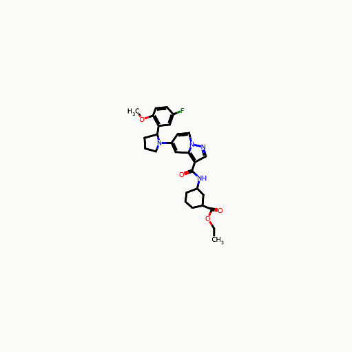 CCOC(=O)C1CCCC(NC(=O)c2cnn3ccc(N4CCCC4c4cc(F)ccc4OC)cc23)C1